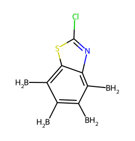 Bc1c(B)c(B)c2sc(Cl)nc2c1B